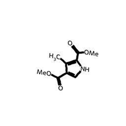 COC(=O)c1c[nH]c(C(=O)OC)c1C